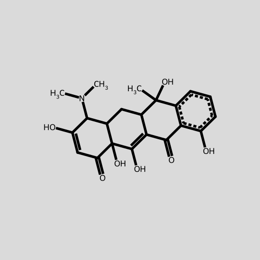 CN(C)C1C(O)=CC(=O)C2(O)C(O)=C3C(=O)c4c(O)cccc4C(C)(O)C3CC12